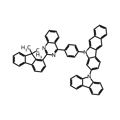 CC1(C)c2ccccc2-c2cccc(-c3nc(-c4ccc(-n5c6cc(-n7c8ccccc8c8ccccc87)ccc6c6cc7ccccc7cc65)cc4)c4ccccc4n3)c21